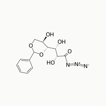 [N-]=[N+]=NC(=O)[C@H](O)[C@@H](O)[C@@H]1OC(c2ccccc2)OC[C@H]1O